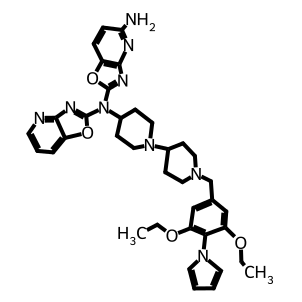 CCOc1cc(CN2CCC(N3CCC(N(c4nc5ncccc5o4)c4nc5nc(N)ccc5o4)CC3)CC2)cc(OCC)c1-n1cccc1